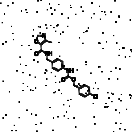 Cc1ncoc1C(=O)NCc1ccc(NC(=O)OCc2ccc(Cl)cc2)cc1